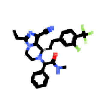 CCc1nc(C#N)c2n1CCN([C@@H](C(=O)NC)c1ccccc1)[C@H]2CCc1ccc(C(F)(F)F)c(F)c1